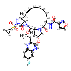 CCc1nc2ccc(F)cc2nc1O[C@@H]1C[C@H]2C(=O)N[C@]3(C(=O)NS(=O)(=O)C4CC4)C[C@H]3/C=C\CCCCC[C@H](NC(=O)c3ccon3)C(=O)N2C1